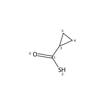 O=C(S)C1CC1